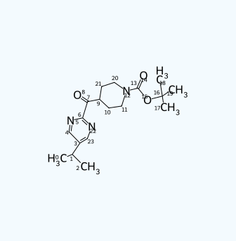 CC(C)c1cnc(C(=O)C2CCN(C(=O)OC(C)(C)C)CC2)nc1